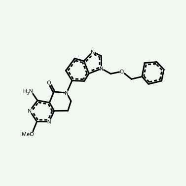 COc1nc(N)c2c(n1)CCN(c1ccc3ncn(COCc4ccccc4)c3c1)C2=O